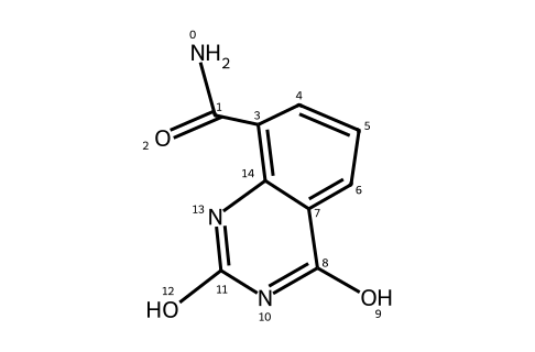 NC(=O)c1cccc2c(O)nc(O)nc12